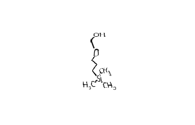 C[Si](C)(C)CCCOCO